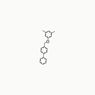 Cc1cc(C)cc(OCc2ccc(-c3ccccc3)cc2)c1